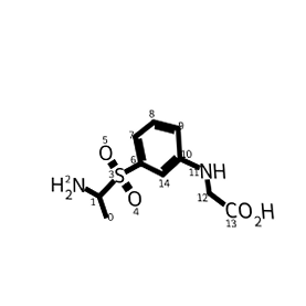 CC(N)S(=O)(=O)c1cccc(NCC(=O)O)c1